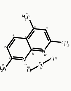 Cc1cc(C)c2ccc(N)nc2n1.[Cl][Fe][Cl]